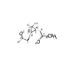 CC(=O)C[C@@H]1[C@@H](CC(=O)O)C1(C)C